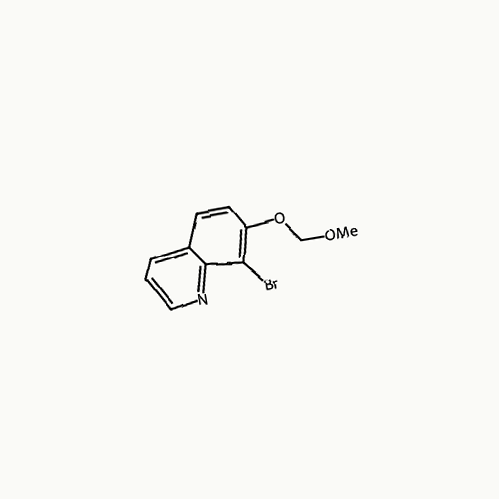 COCOc1ccc2cccnc2c1Br